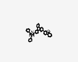 c1ccc(-c2nc(-c3ccccc3)nc(-c3ccc4c5cc(-c6ccc7c(c6)oc6ccccc67)ccc5c5ccccc5c4c3)n2)cc1